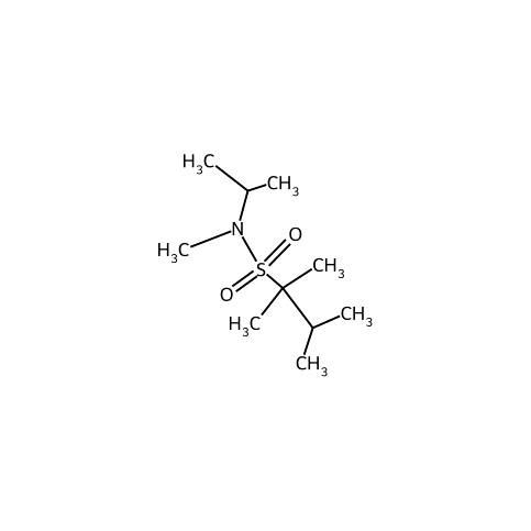 CC(C)N(C)S(=O)(=O)C(C)(C)C(C)C